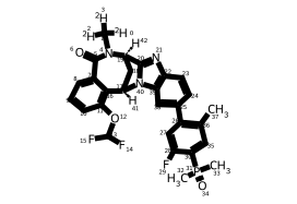 [2H]C([2H])([2H])N1C(=O)c2cccc(OC(F)F)c2[C@H]2C[C@@H]1c1nc3ccc(-c4cc(F)c(P(C)(C)=O)cc4C)cc3n12